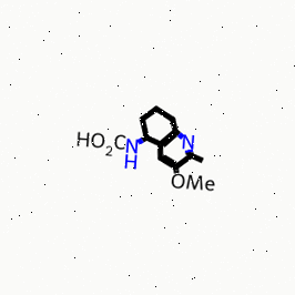 COc1cc2c(nc1C)CCCC2NC(=O)O